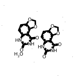 O.O=c1[nH]c(=O)c2c3c(ccc2[nH]1)OCO3.O=c1[nH]c(=O)c2c3c(ccc2[nH]1)OCO3